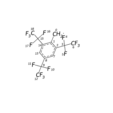 [CH2]c1c(C(F)(F)C(F)(F)F)cc(C(F)(F)C(F)(F)F)cc1C(F)(F)C(F)(F)F